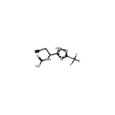 C#CCC(NC(=O)O)c1nc(C(F)(F)F)n[nH]1